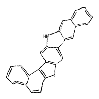 c1ccc2cc3c(cc2c1)[nH]c1cc2c(cc13)sc1ccc3ccccc3c12